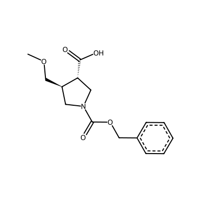 COC[C@@H]1CN(C(=O)OCc2ccccc2)C[C@H]1C(=O)O